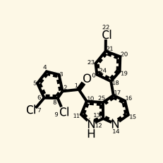 O=C(c1cccc(Cl)c1Cl)c1c[nH]c2nccc(-c3ccc(Cl)cc3)c12